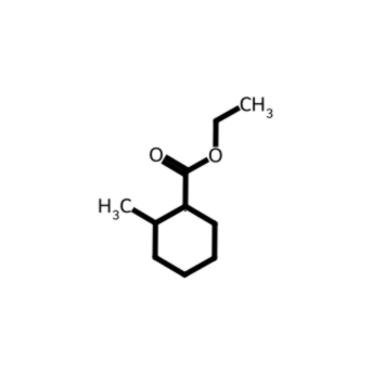 CCOC(=O)[C]1CCCCC1C